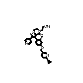 O=C1c2c(-c3ccc(OCc4ccc(C5CC5)nc4)cc3F)c(-c3ccncc3)nn2CCN1CCO